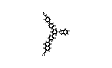 N#Cc1ccc(-c2ccc(-c3cc(-c4ccc(-c5ccc6cc(C#N)ccc6c5)cc4)cc(-c4nc5ccccc5s4)c3)cc2)cc1